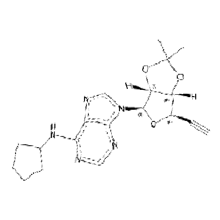 C#C[C@H]1O[C@@H](n2cnc3c(NC4CCCC4)ncnc32)[C@@H]2OC(C)(C)O[C@@H]21